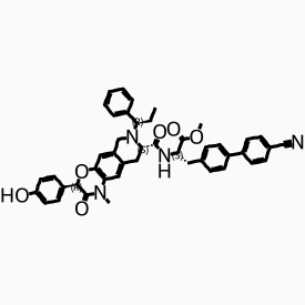 CC[C@H](c1ccccc1)N1Cc2cc3c(cc2C[C@H]1C(=O)N[C@@H](Cc1ccc(-c2ccc(C#N)cc2)cc1)C(=O)OC)N(C)C(=O)[C@@H](c1ccc(O)cc1)O3